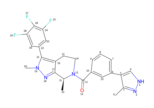 Cc1n[nH]cc1-c1cccc(C(=O)N2CCc3c(nn(C)c3-c3cc(F)c(F)c(F)c3)[C@@H]2C)c1